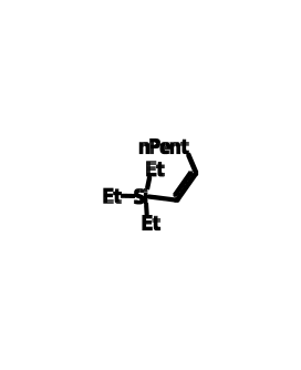 CCCCC/C=C\[Si](CC)(CC)CC